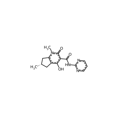 C[C@H]1Cc2c(O)c(C(=O)Nc3ncccn3)c(=O)n(C)c2C1